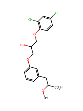 CC(C)OC(Cc1cccc(OCC(O)COc2ccc(Cl)cc2Cl)c1)C(=O)O